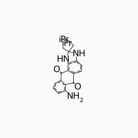 CC(C)CC1(CC(C)C)Nc2ccc3c(c2N1)C(=O)c1cccc(N)c1C3=O